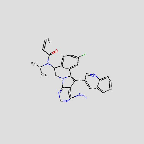 C=CC(=O)N(C(C)C)C1Cn2c(c(-c3cnc4ccccc4c3)c3c(N)ncnc32)-c2cc(F)ccc21